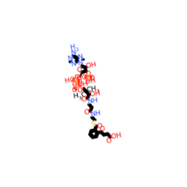 CC(C)(COP(=O)(O)OP(=O)(O)OC[C@H]1O[C@@H](n2cnc3c(N)ncnc32)[C@H](O)[C@@H]1OP(=O)(O)O)[C@@H](O)C(=O)NCCC(=O)NCCSC(=O)c1ccccc1C(=O)CCC(=O)O